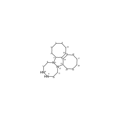 C1CCCC(N2CCNNCCN2C2CCCCCCC2)CCC1